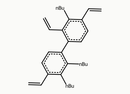 C=Cc1ccc(-c2ccc(C=C)c(CCCC)c2CCCC)c(C=C)c1CCCC